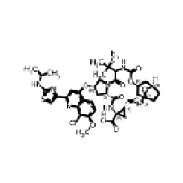 C=C[C@@H]1C[C@]1(NC(=O)[C@@H]1C[C@@H](Oc2cc(-c3csc(NC(C)C)n3)nc3c(Cl)c(OC)ccc23)CN1C(=O)C(NC(=O)O[C@H]1C[C@H]2CC[C@@H](C1)O2)C(C)(C)C)C(=O)O